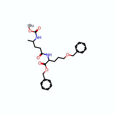 CC(CCC(=O)NC(CCCOCc1ccccc1)C(=O)OCc1ccccc1)NC(=O)OC(C)(C)C